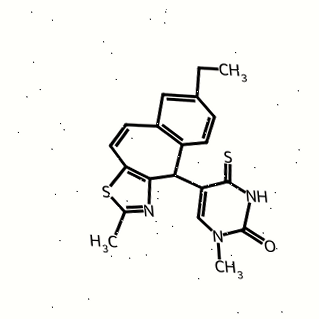 CCc1ccc2c(c1)C=Cc1sc(C)nc1C2c1cn(C)c(=O)[nH]c1=S